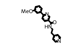 COc1cccc(-c2ccc(C(=O)NCCc3ccncc3)cn2)c1